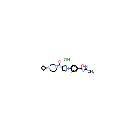 Cc1noc(-c2ccc(N3CC[C@H](C(=O)N4CCCN(C5CCC5)CC4)C3)c(F)c2)n1.Cl